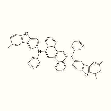 CC1=Cc2c(oc3ccc(N(C4=CC=CCC4)c4cc5c(c6ccccc46)C=C(N(c4ccccc4)c4ccc6oc7ccc(C)cc7c6c4)C4C=CC=CC54)cc23)C(C)C1